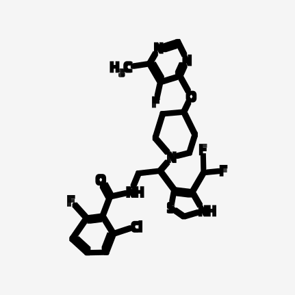 Cc1ncnc(OC2CCN(C(CNC(=O)c3c(F)cccc3Cl)C3=C(C(F)F)NCS3)CC2)c1F